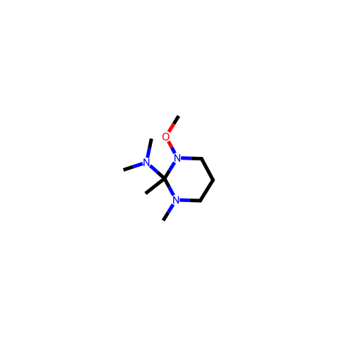 CON1CCCN(C)C1(C)N(C)C